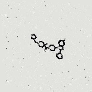 O=C(N1CCC(n2c(-c3ccccn3)nc3cc(F)ccc32)CC1)C1(F)CCN(CC2=CSCC2)CC1